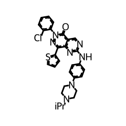 CC(C)N1CCN(c2ccc(Nc3ncc4c(=O)n(-c5ccccc5Cl)nc(-c5cccs5)c4n3)cc2)CC1